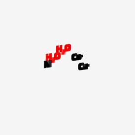 O.O.[Co].[Cu].[Ni]